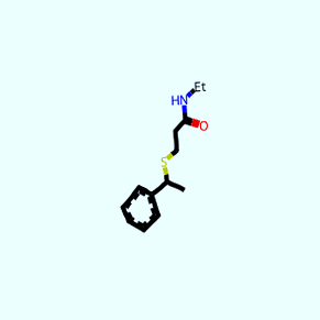 CCNC(=O)CCSC(C)c1ccccc1